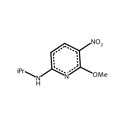 COc1nc(NC(C)C)ccc1[N+](=O)[O-]